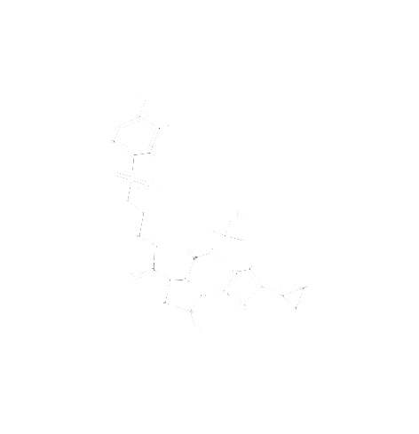 CC(C)(C)[C@@H](C(=O)N1CC(O)CC1C(=O)NCCCS(=O)(=O)c1ccc(Cl)cc1)n1cc(C2CC2)nn1